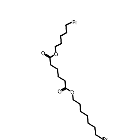 CC(C)CCCCCCCOC(=O)CCCCC(=O)OCCCCCC(C)C